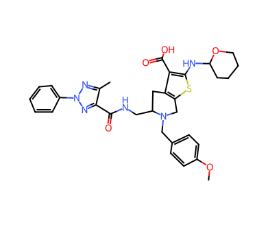 COc1ccc(CN2Cc3sc(NC4CCCCO4)c(C(=O)O)c3CC2CNC(=O)c2nn(-c3ccccc3)nc2C)cc1